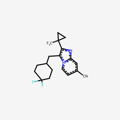 N#Cc1ccn2c(CC3CCC(F)(F)CC3)c(C3(C(F)(F)F)CC3)nc2c1